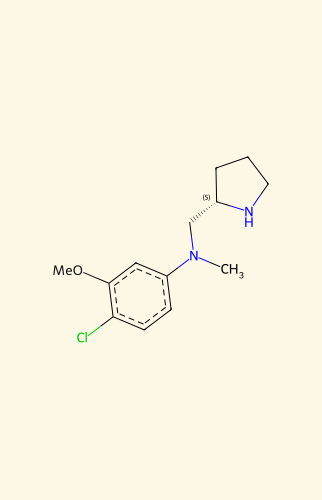 COc1cc(N(C)C[C@@H]2CCCN2)ccc1Cl